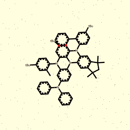 Cc1cc(C(C)(C)C)ccc1N1c2cc(N(c3ccccc3)c3ccccc3)ccc2B2c3cc4c(cc3N(c3ccc(C(C)(C)C)cc3-c3ccccc3)c3cc(C(C)(C)C)cc1c32)C(C)(C)CC4(C)C